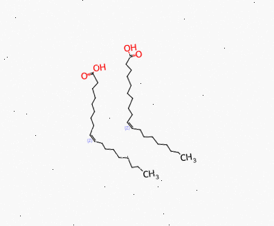 CCCCCCCC/C=C\CCCCCCCC(=O)O.CCCCCCCC/C=C\CCCCCCCCC(=O)O